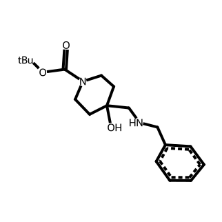 CC(C)(C)OC(=O)N1CCC(O)(CNCc2ccccc2)CC1